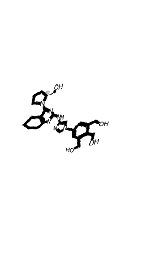 OCc1cc(-n2cnc(Nc3nc4c(c(N5CCC[C@@H]5CO)n3)CCCC4)c2)cc(CO)c1CO